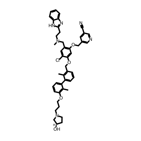 Cc1c(COc2cc(OCc3cncc(C#N)c3)c(CN(C)CCc3nc4ccccc4[nH]3)cc2Cl)cccc1-c1cccc(OCCCN2CC[C@@H](O)C2)c1C